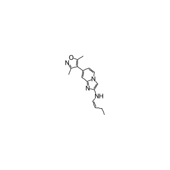 CC/C=C\Nc1cn2ccc(-c3c(C)noc3C)cc2n1